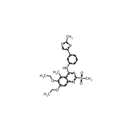 CCOc1cc2nc(S(C)(=O)=O)nc(Nc3cccc(-c4csc(C)n4)c3)c2c(C)c1OCC